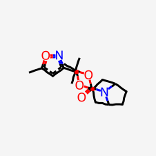 Cc1cc(COC2CC3CCC(C2)N3C(=O)OC(C)(C)C)no1